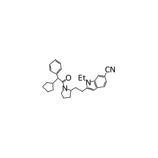 CCn1c(CCC2CCCN2C(=O)C(c2ccccc2)C2CCCC2)cc2ccc(C#N)cc21